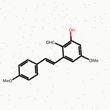 COc1ccc(/C=C/c2cc(OC)cc(O)c2C=O)cc1